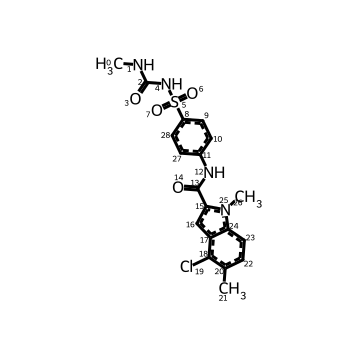 CNC(=O)NS(=O)(=O)c1ccc(NC(=O)c2cc3c(Cl)c(C)ccc3n2C)cc1